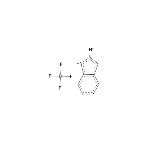 F[B-](F)(F)F.[H+].c1ccc2[nH]ncc2c1